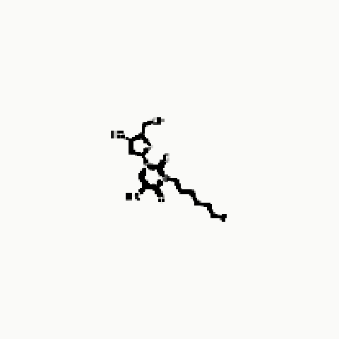 Cc1cn([C@H]2C[C@H](O)[C@@H](CO)S2)c(=O)n(CCCCCCF)c1=O